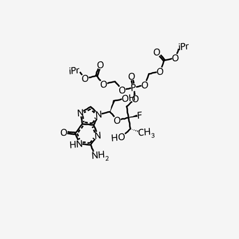 CC(C)OC(=O)OCOP(=O)(OCOC(=O)OC(C)C)OC[C@@](F)(O[C@H](CO)n1cnc2c(=O)[nH]c(N)nc21)[C@H](C)O